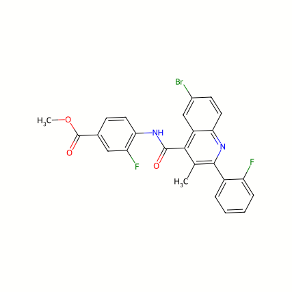 COC(=O)c1ccc(NC(=O)c2c(C)c(-c3ccccc3F)nc3ccc(Br)cc23)c(F)c1